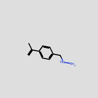 C=C(C)c1ccc(CNN)cc1